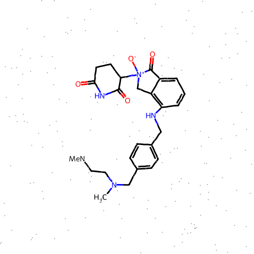 CNCCN(C)Cc1ccc(CNc2cccc3c2C[N+]([O-])(C2CCC(=O)NC2=O)C3=O)cc1